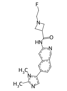 Cc1ncc(-c2ccc3cnc(NC(=O)C4CN(CCF)C4)cc3c2)n1C